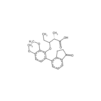 CCC(Oc1c(-c2cccc3c2CCC3=O)ccc(OC)c1OC)[C@H](C)C(=O)O